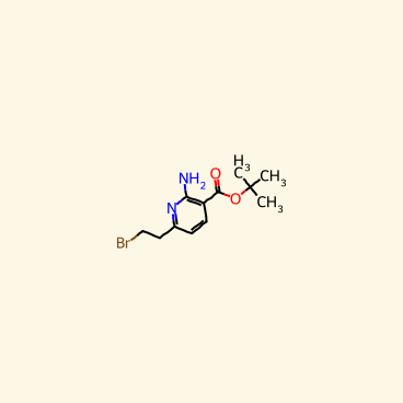 CC(C)(C)OC(=O)c1ccc(CCBr)nc1N